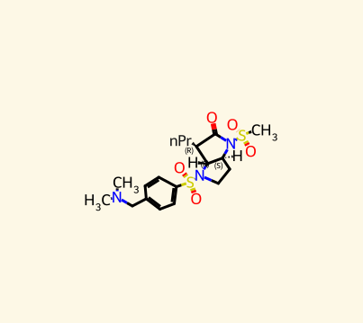 CCC[C@H]1C(=O)N(S(C)(=O)=O)[C@H]2CCN(S(=O)(=O)c3ccc(CN(C)C)cc3)[C@H]12